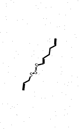 C=CCCC=CSSSCC=C